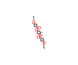 C=CCCOc1ccc(C(=O)Oc2ccc(OC(=O)c3ccc(OCCC=C)cc3)c(C)c2)cc1